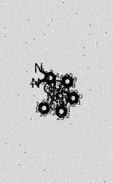 N#Cc1cccc(O[PH]2=NP(Oc3ccccc3)N(Oc3ccccc3)P(Oc3ccccc3)N2Oc2ccccc2)c1C#N